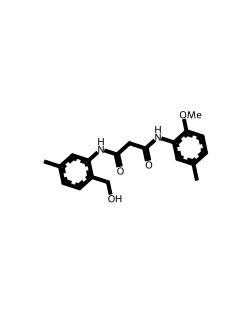 COc1ccc(C)cc1NC(=O)CC(=O)Nc1cc(C)ccc1CO